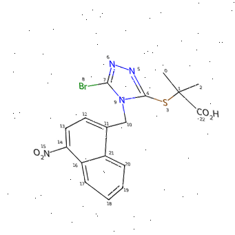 CC(C)(Sc1nnc(Br)n1Cc1ccc([N+](=O)[O-])c2ccccc12)C(=O)O